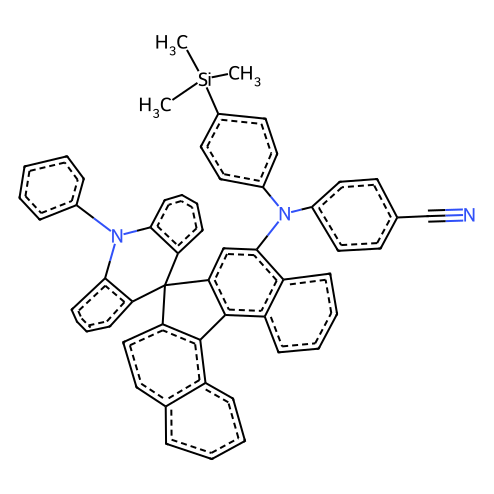 C[Si](C)(C)c1ccc(N(c2ccc(C#N)cc2)c2cc3c(c4ccccc24)-c2c(ccc4ccccc24)C32c3ccccc3N(c3ccccc3)c3ccccc32)cc1